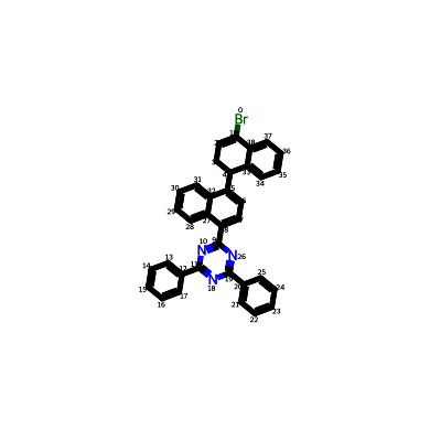 BrC1=CCC(c2ccc(-c3nc(-c4ccccc4)nc(-c4ccccc4)n3)c3ccccc23)c2ccccc21